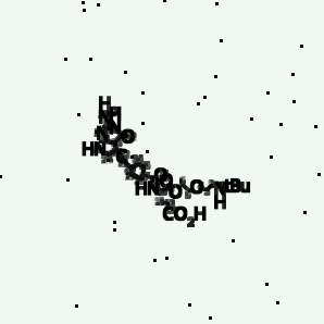 CC(C)(C)NCCOCCOC(=O)[C@H](CCC(=O)O)NC(=O)c1ccc(CCc2c[nH]c3nc(N)[nH]c(=O)c23)cc1